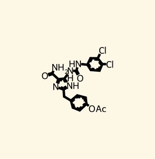 CC(=O)Oc1ccc(Cc2nc(C(N)=O)c(NC(=O)Nc3ccc(Cl)c(Cl)c3)[nH]2)cc1